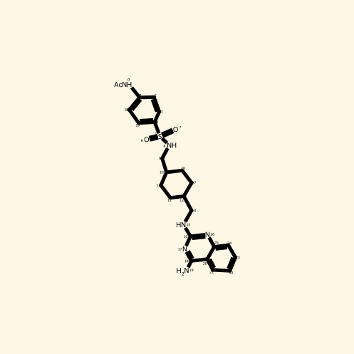 CC(=O)Nc1ccc(S(=O)(=O)NCC2CCC(CNc3nc(N)c4ccccc4n3)CC2)cc1